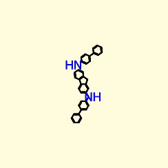 c1ccc(-c2ccc(Nc3ccc4c(c3)Cc3cc(Nc5ccc(-c6ccccc6)cc5)ccc3-4)cc2)cc1